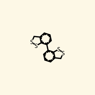 c1cc2c(c(-c3cccc4c3SSC4)c1)SSC2